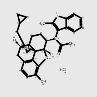 CC(=O)N(c1c(C)sc2ccccc12)[C@@H]1CC[C@@]2(O)[C@H]3Cc4ccc(O)c5c4[C@@]2(CCN3CC2CC2)[C@H]1O5.Cl